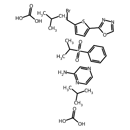 BrCc1ccc(-c2nnco2)s1.CC(C)C.CC(C)C.CC(C)S(=O)(=O)c1ccccc1.Nc1cnccn1.O=C(O)O.O=C(O)O